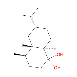 CC(C)[C@@H]1CC[C@]2(C)[C@@H](C1)[C@H](C)CCC2(O)O